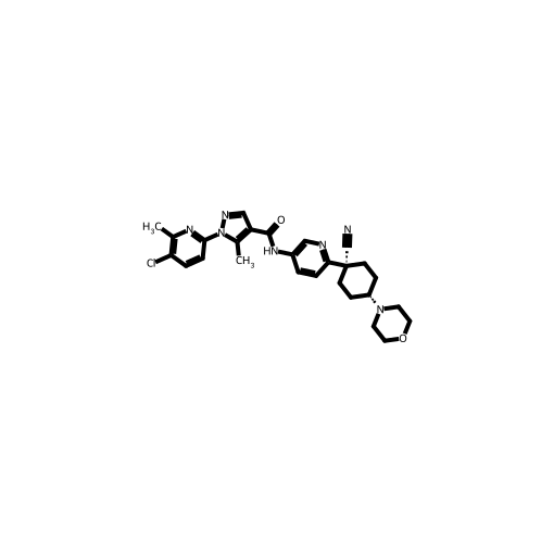 Cc1nc(-n2ncc(C(=O)Nc3ccc([C@]4(C#N)CC[C@@H](N5CCOCC5)CC4)nc3)c2C)ccc1Cl